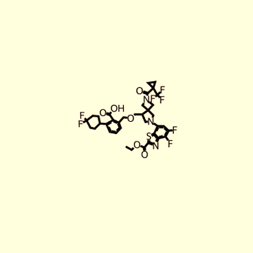 CCOC(=O)c1nc2c(F)c(F)cc(N3CC(COCc4cccc(C5CCC(F)(F)CC5)c4C(=O)O)C4(CN(C(=O)C5(C(F)(F)F)CC5)C4)C3)c2s1